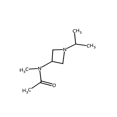 CC(=O)N(C)C1CN(C(C)C)C1